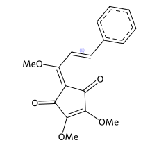 COC(/C=C/c1ccccc1)=C1C(=O)C(OC)=C(OC)C1=O